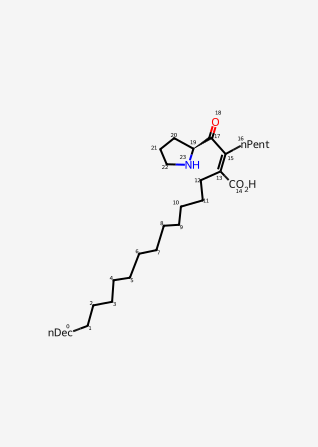 CCCCCCCCCCCCCCCCCCCCCCC(C(=O)O)=C(CCCCC)C(=O)[C@@H]1CCCN1